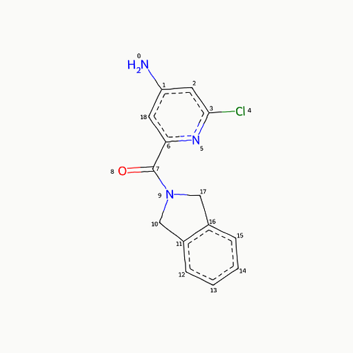 Nc1cc(Cl)nc(C(=O)N2Cc3ccccc3C2)c1